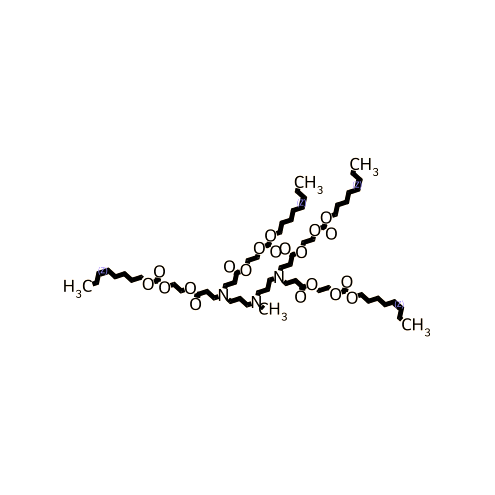 CC/C=C\CCCCOC(=O)OCCOC(=O)CCN(CCCN(C)CCCN(CCC(=O)OCCOC(=O)OCCCC/C=C\CC)CCC(=O)OCCOC(=O)OCCCC/C=C\CC)CCC(=O)OCCOC(=O)OCCCC/C=C\CC